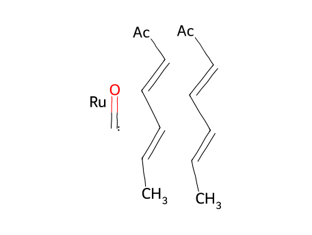 CC=CC=CC(C)=O.CC=CC=CC(C)=O.[C]=O.[Ru]